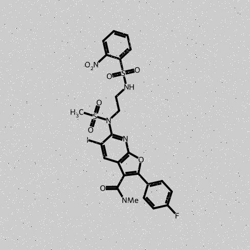 CNC(=O)c1c(-c2ccc(F)cc2)oc2nc(N(CCNS(=O)(=O)c3ccccc3[N+](=O)[O-])S(C)(=O)=O)c(I)cc12